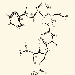 CC(NC(=O)CO[C@@H]([C@H](O)[C@H](O)CO)[C@H](C=O)NC(=O)c1ccccc1)C(=O)NC(CCC(=O)O)C(=O)N(C)C(N)=O